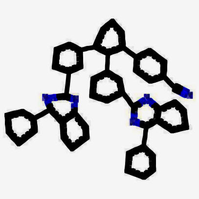 N#Cc1ccc(-c2cccc(-c3cccc(-c4nc(-c5ccccc5)c5ccccc5n4)c3)c2-c2cccc(-c3nc(-c4ccccc4)c4ccccc4n3)c2)cc1